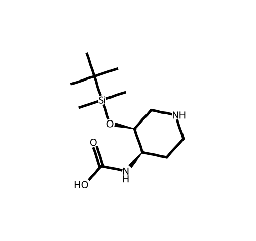 CC(C)(C)[Si](C)(C)O[C@H]1CNCC[C@H]1NC(=O)O